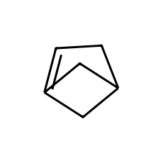 C1=C2CC(C1)C2